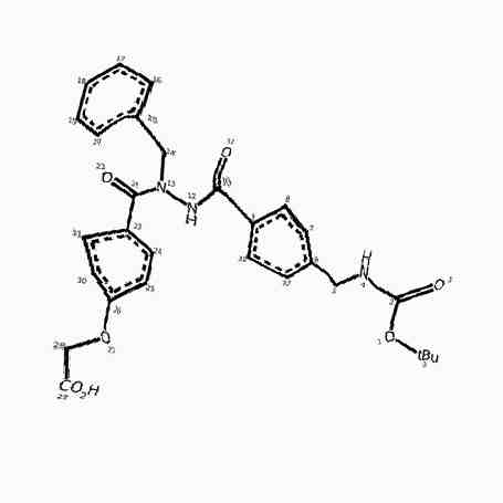 CC(C)(C)OC(=O)NCc1ccc(C(=O)NN(Cc2ccccc2)C(=O)c2ccc(OCC(=O)O)cc2)cc1